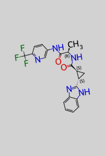 C[C@@H](NC(=O)[C@H]1C[C@@H]1c1nc2ccccc2[nH]1)C(=O)Nc1ccc(C(F)(F)F)nc1